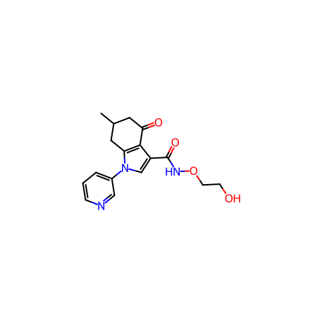 CC1CC(=O)c2c(C(=O)NOCCO)cn(-c3cccnc3)c2C1